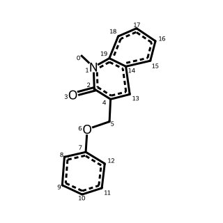 Cn1c(=O)c(COc2[c]cccc2)cc2ccccc21